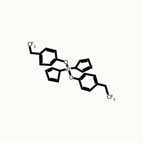 FC(F)(F)Cc1ccc([O][Zr]([O]c2ccc(CC(F)(F)F)cc2)([CH]2C=CC=C2)[CH]2C=CC=C2)cc1